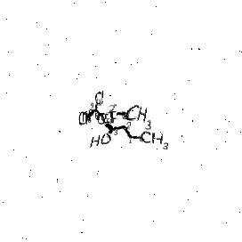 CCCC(=O)O.CCCCCC.ClC(Cl)Cl